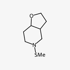 CSN1CCC2OCCC2C1